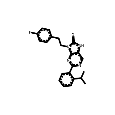 CC(C)c1ccccc1-c1ncc2[nH]c(=O)n(CCc3ccc(F)cc3)c2n1